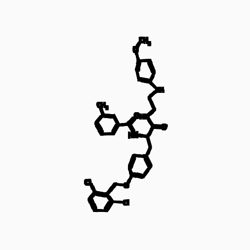 COc1ccc(NCCNC(=O)C(Cc2ccc(OCc3c(Cl)cccc3Cl)cc2)NC(=O)c2cccc(C)c2)cc1